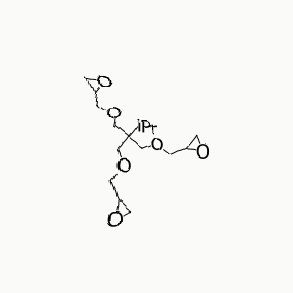 CC(C)C(COCC1CO1)(COCC1CO1)COCC1CO1